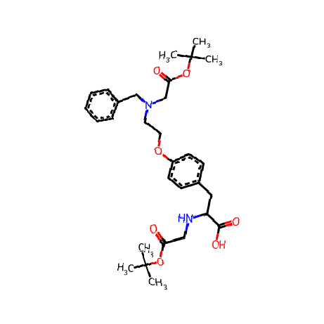 CC(C)(C)OC(=O)CNC(Cc1ccc(OCCN(CC(=O)OC(C)(C)C)Cc2ccccc2)cc1)C(=O)O